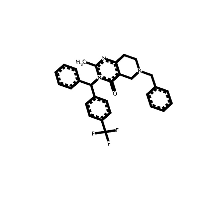 Cc1nc2c(c(=O)n1C(c1ccccc1)c1ccc(C(F)(F)F)cc1)CN(Cc1ccccc1)CC2